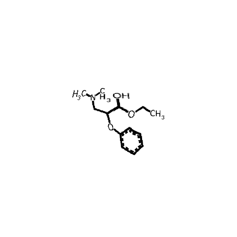 CCOC(O)C(CN(C)C)Oc1ccccc1